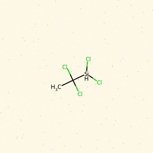 CC(Cl)(Cl)[SiH](Cl)Cl